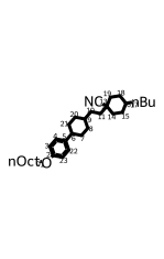 CCCCCCCCOc1ccc(C2CCC(CCC3(C#N)CCC(CCCC)CC3)CC2)cc1